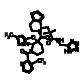 CCC[C@H]1N(C(=O)c2ncccc2C(F)(F)F)CCC[C@]1(Oc1csc(C(F)(F)F)c1)C(=O)N1CCc2ccsc2C1CC(C)(C)C(=O)NCc1nnn[nH]1